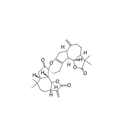 C=C1C(=O)O[C@@H]2[C@@H]3[C@@H](CC(=O)[C@]34CCC3=C(C[C@H]5C(=C)CC[C@@H]6[C@H](OC(=O)C6(C)C)[C@@H]35)O4)C(C)(C)CC[C@@H]12